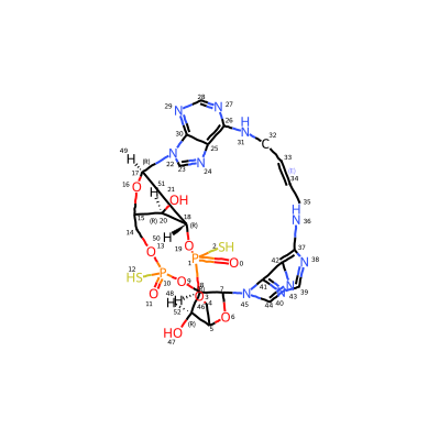 O=P1(S)OCC2OC3[C@H](OP(=O)(S)OCC4O[C@H]([C@H](O1)[C@@H]4O)n1cnc4c(ncnc41)NC/C=C/CNc1ncnc4c1ncn43)[C@@H]2O